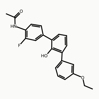 CCOc1cccc(-c2cccc(-c3ccc(NC(C)=O)c(F)c3)c2O)c1